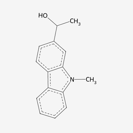 CC(O)c1ccc2c3ccccc3n(C)c2c1